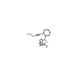 CCCC#Cc1ccccc1C(C)O[SiH3]